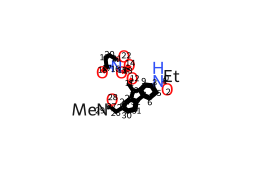 CCC(=O)Nc1ccc2c(c1)C(COC(=O)ON1C(=O)CCC1=O)c1cc(CC(=O)NC)ccc1-2